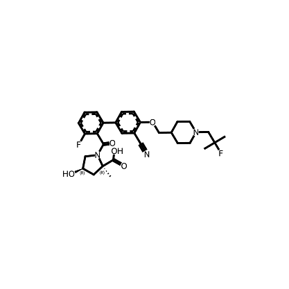 CC(C)(F)CN1CCC(COc2ccc(-c3cccc(F)c3C(=O)N3C[C@H](O)C[C@]3(C)C(=O)O)cc2C#N)CC1